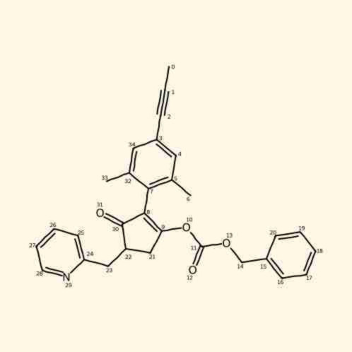 CC#Cc1cc(C)c(C2=C(OC(=O)OCc3ccccc3)CC(Cc3ccccn3)C2=O)c(C)c1